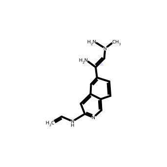 C=CNc1cc2cc(/C(N)=C/N(C)N)ccc2cn1